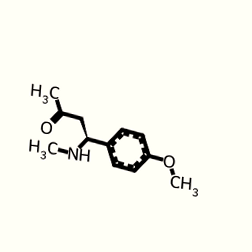 CN[C@@H](CC(C)=O)c1ccc(OC)cc1